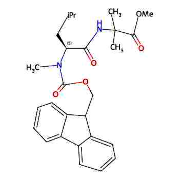 COC(=O)C(C)(C)NC(=O)[C@H](CC(C)C)N(C)C(=O)OCC1c2ccccc2-c2ccccc21